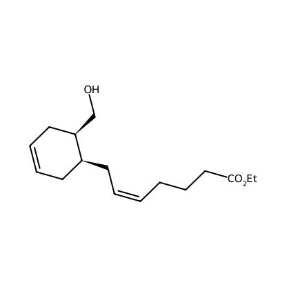 CCOC(=O)CCC/C=C\C[C@H]1CC=CC[C@H]1CO